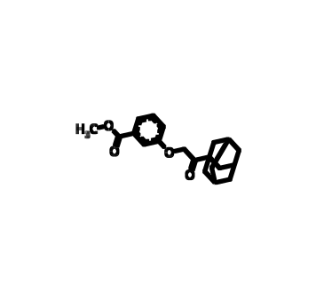 COC(=O)c1cccc(OCC(=O)C23CC4CC(CC(C4)C2)C3)c1